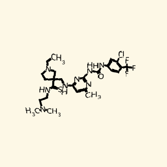 CCN1CCC(CNc2cc(C)nc(NC(=O)Nc3ccc(C(F)(F)F)c(Cl)c3)n2)(C(=S)NCCN(C)C)C1